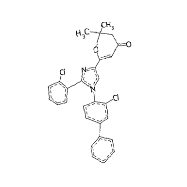 CC1(C)CC(=O)C=C(c2cn(-c3ccc(-c4ccccc4)cc3Cl)c(-c3ccccc3Cl)n2)O1